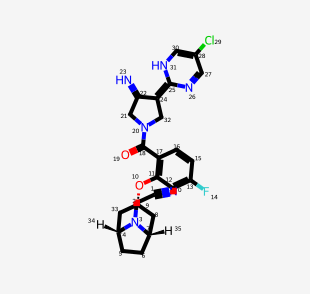 N#CCN1[C@@H]2CC[C@H]1C[C@@H](Oc1cc(F)ccc1C(=O)N1CC(=N)/C(=C3/N=CC(Cl)=CN3)C1)C2